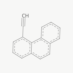 C#Cc1cccc2ccc3ccccc3c12